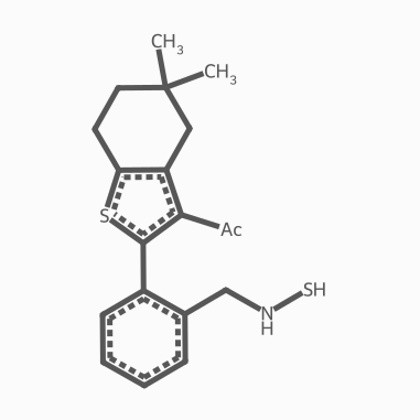 CC(=O)c1c(-c2ccccc2CNS)sc2c1CC(C)(C)CC2